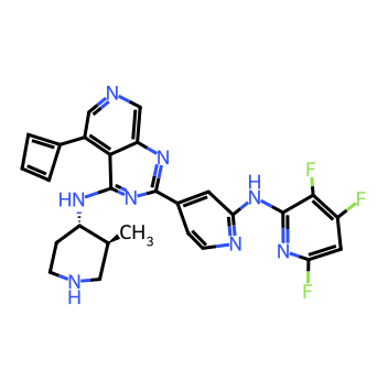 C[C@H]1CNCC[C@@H]1Nc1nc(-c2ccnc(Nc3nc(F)cc(F)c3F)c2)nc2cncc(C3=CC=C3)c12